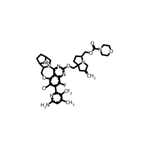 C=C1CN2C(COC(=O)N3CCOCC3)CCC2(COc2nc3c4c(c(Cl)c(-c5nc(N)cc(C)c5C(F)(F)F)c(F)c4n2)OCC2C4CCC(CN32)N4)C1